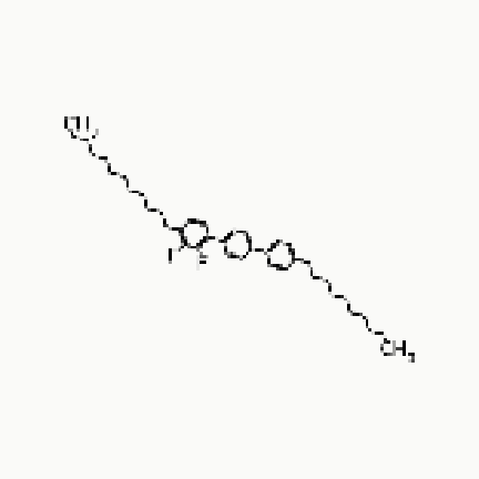 CCCCCCCCCCCCc1ccc(-c2ccc(-c3ccc(CCCCCCCCCC)cc3)cc2)c(F)c1F